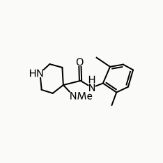 CNC1(C(=O)Nc2c(C)cccc2C)CCNCC1